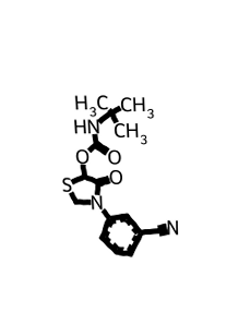 CC(C)(C)NC(=O)OC1SCN(c2cccc(C#N)c2)C1=O